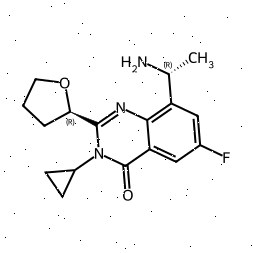 C[C@@H](N)c1cc(F)cc2c(=O)n(C3CC3)c([C@H]3CCCO3)nc12